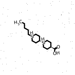 CCCCC[SiH]1CCC([Si@H]2CC[C@H](C(=O)O)CC2)CC1